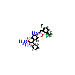 NC(=O)c1[nH]c2ccccc2c1-c1ccc(NC(=O)Cc2cc(C(F)(F)F)ccc2F)cc1